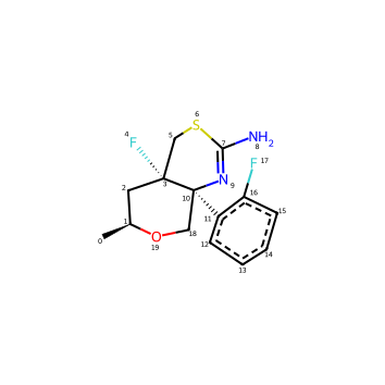 C[C@H]1C[C@@]2(F)CSC(N)=N[C@@]2(c2ccccc2F)CO1